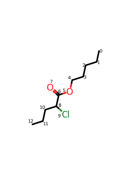 CCCCCOC(=O)C(Cl)CCC